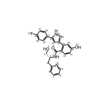 O=C(N[C@@H](CO)Cc1ccccn1)c1ccc(O)cc1-c1cc(-c2ccc(F)cc2)[nH]n1